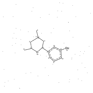 CC1CN(C)CC(c2cccc(O)c2)O1